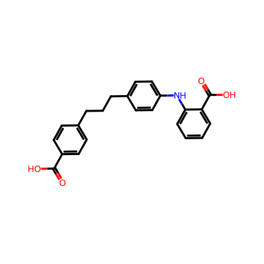 O=C(O)c1ccc(CCCc2ccc(Nc3ccccc3C(=O)O)cc2)cc1